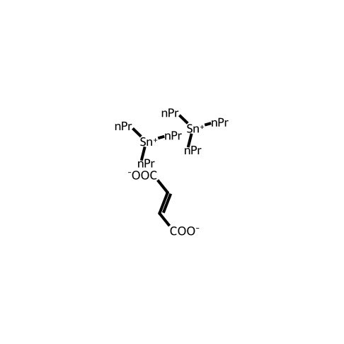 CC[CH2][Sn+]([CH2]CC)[CH2]CC.CC[CH2][Sn+]([CH2]CC)[CH2]CC.O=C([O-])C=CC(=O)[O-]